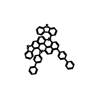 c1ccc(-c2ccc(-c3ccc(N(c4ccccc4-c4ccccc4N(c4ccc(-c5ccccc5)cc4)c4cccc5sc6ccccc6c45)c4cccc5sc6ccccc6c45)cc3)cc2)cc1